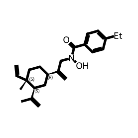 C=C[C@]1(C)CC[C@@H](C(=C)CN(O)C(=O)c2ccc(CC)cc2)C[C@H]1C(=C)C